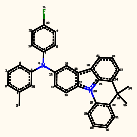 Cc1cccc(N(c2ccc(F)cc2)c2ccc3c(c2)c2cccc4c2n3-c2ccccc2C4(C)C)c1